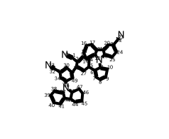 N#CC1=CCC(c2ccccc2-n2c3ccccc3c3cc(C#N)ccc32)C=C1c1cc(C#N)cc(N2c3ccccc3C3C=CCCC32)c1